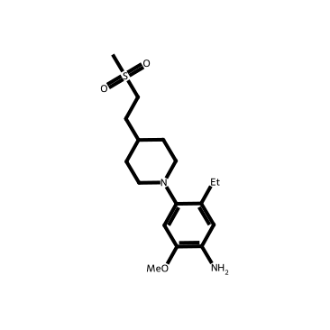 CCc1cc(N)c(OC)cc1N1CCC(CCS(C)(=O)=O)CC1